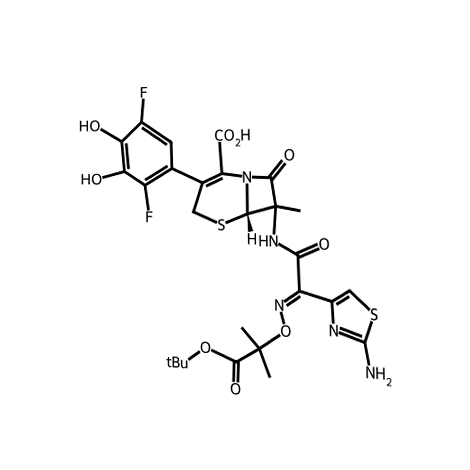 CC(C)(C)OC(=O)C(C)(C)ON=C(C(=O)NC1(C)C(=O)N2C(C(=O)O)=C(c3cc(F)c(O)c(O)c3F)CS[C@H]21)c1csc(N)n1